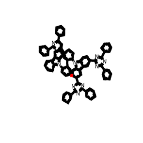 c1ccc(-c2cc(-c3ccc(-n4c5ccc(-c6nc(-c7ccccc7)nc(-c7ccccc7)n6)cc5c5cc(-c6nc(-c7ccccc7)nc(-c7ccccc7)n6)ccc54)c(-c4ccccc4-n4c5ccccc5c5ccccc54)c3)nc(-c3ccccc3)n2)cc1